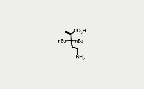 C=C(C(=O)O)C(CCN)(CCCC)CCCC